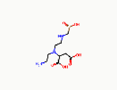 NCCN(CCNCS(=O)O)C(CC(=O)O)C(=O)O